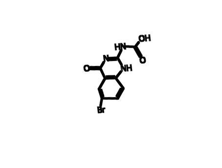 O=C(O)Nc1nc(=O)c2cc(Br)ccc2[nH]1